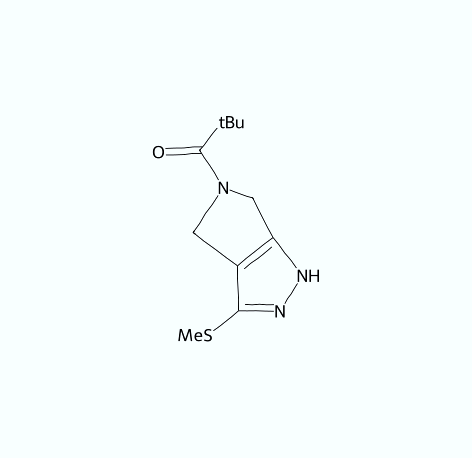 CSc1n[nH]c2c1CN(C(=O)C(C)(C)C)C2